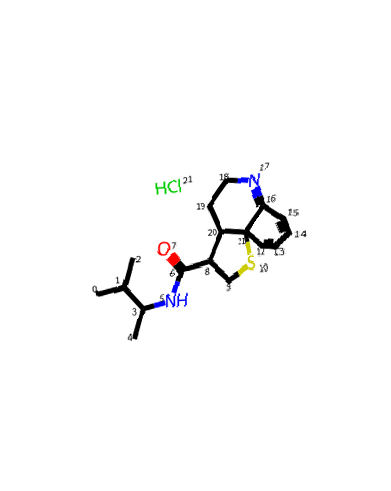 CC(C)C(C)NC(=O)C1CSC23C=CC=CC2=NCCC13.Cl